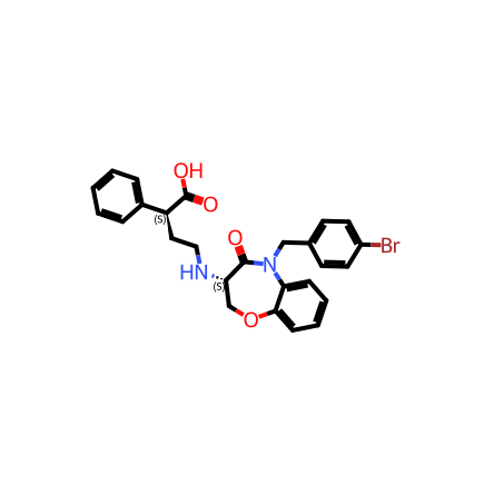 O=C(O)[C@@H](CCN[C@H]1COc2ccccc2N(Cc2ccc(Br)cc2)C1=O)c1ccccc1